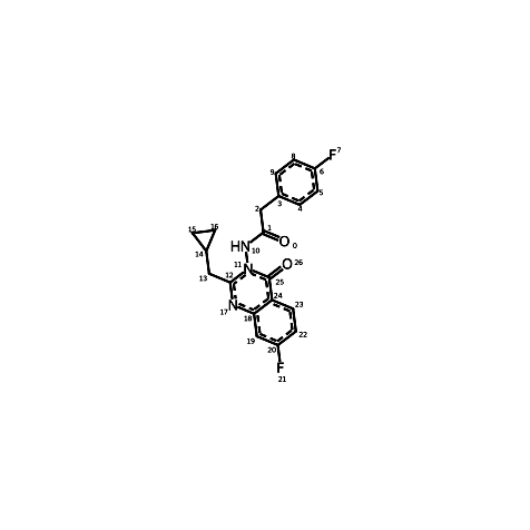 O=C(Cc1ccc(F)cc1)Nn1c(CC2CC2)nc2cc(F)ccc2c1=O